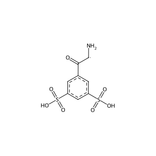 N[CH]C(=O)c1cc(S(=O)(=O)O)cc(S(=O)(=O)O)c1